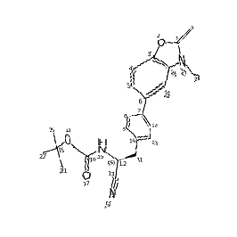 C=C1Oc2ccc(-c3ccc(C[C@@H](C#N)NC(=O)OC(C)(C)C)cc3)cc2N1C